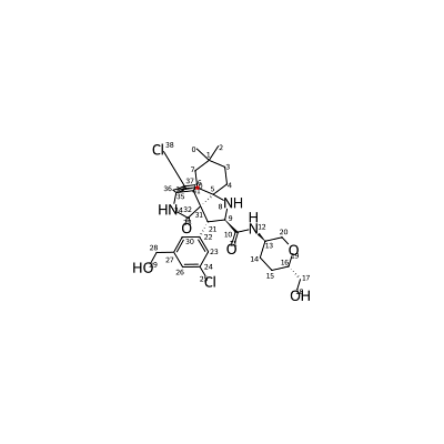 CC1(C)CCC2(CC1)N[C@@H](C(=O)N[C@@H]1CC[C@@H](CO)OC1)[C@H](c1cc(Cl)cc(CO)c1)[C@]21C(=O)Nc2cc(Cl)ccc21